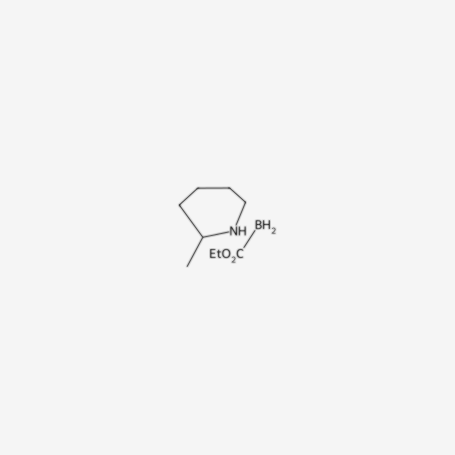 BC(=O)OCC.CC1CCCCN1